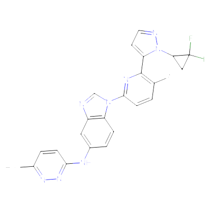 CC(=O)c1ccc(-n2cnc3cc(Nc4ccc(C)nn4)ccc32)nc1-c1ccnn1C1CC1(F)F